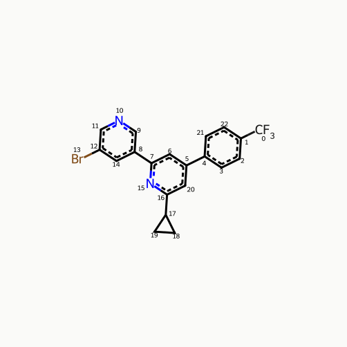 FC(F)(F)c1ccc(-c2cc(-c3cncc(Br)c3)nc(C3CC3)c2)cc1